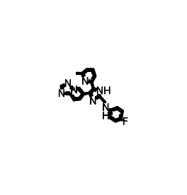 Cc1cccc(-c2[nH]c(CNc3ccc(F)cc3)nc2-c2ccc3ncnn3c2)n1